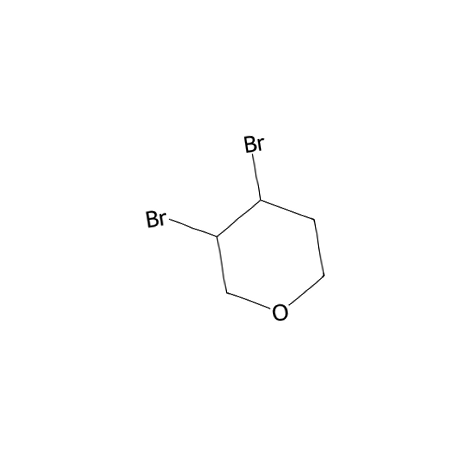 BrC1CCOCC1Br